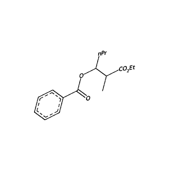 CCCC(OC(=O)c1ccccc1)C(C)C(=O)OCC